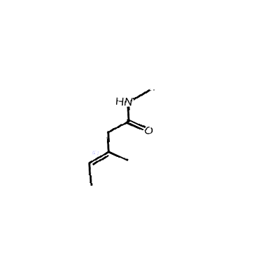 [CH2]NC(=O)C/C(C)=C/C